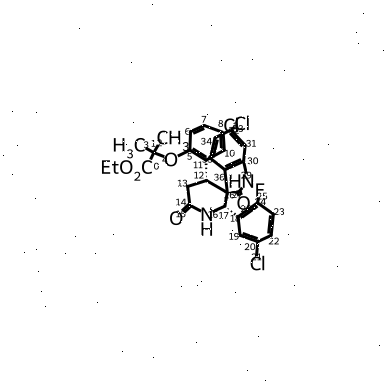 CCOC(=O)C(C)(C)Oc1ccc(Cl)cc1[C@H]1CC(=O)N[C@@H](c2cc(Cl)ccc2F)[C@]12C(=O)Nc1cc(Cl)ccc12